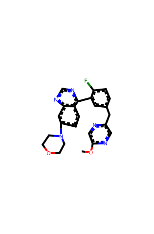 COc1cnc(Cc2ccc(F)c(-c3ncnc4cc(N5CCOCC5)ccc34)c2)cn1